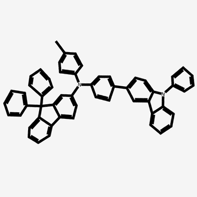 Cc1ccc(N(c2ccc(-c3ccc4c(c3)c3ccccc3n4-c3ccccc3)cc2)c2ccc3c(c2)C(c2ccccc2)(c2ccccc2)c2ccccc2-3)cc1